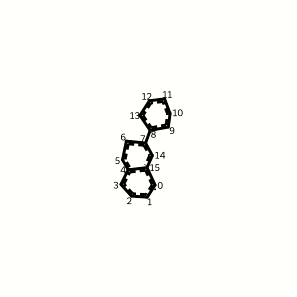 [c]1cccc2ccc(-c3ccccc3)cc12